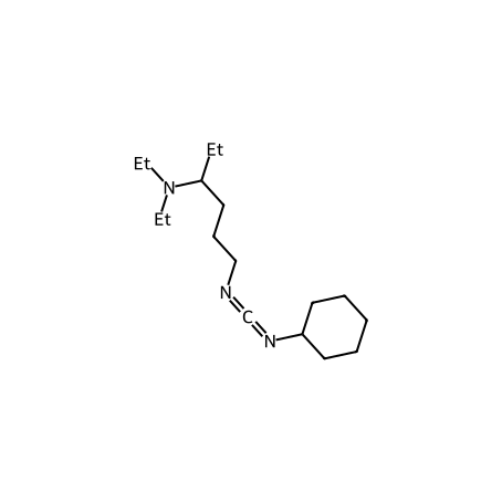 CCC(CCCN=C=NC1CCCCC1)N(CC)CC